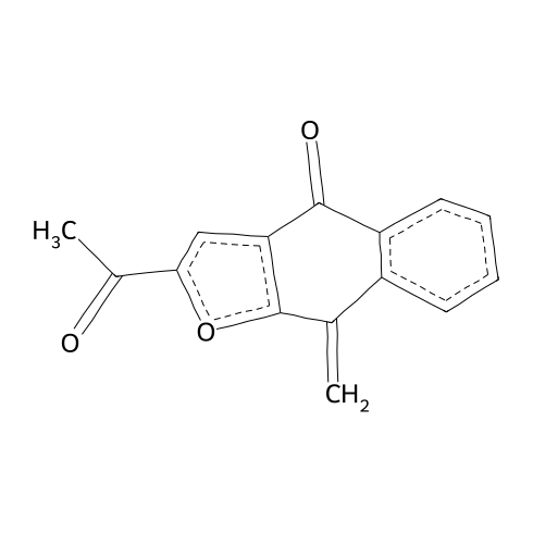 C=C1c2ccccc2C(=O)c2cc(C(C)=O)oc21